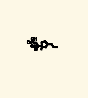 CCCC1CCC(C)(C(=O)CP(=O)(O)O)C1